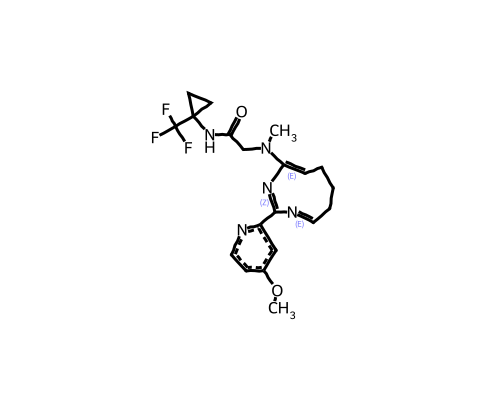 COc1ccnc(C2=N/C(N(C)CC(=O)NC3(C(F)(F)F)CC3)=C/CCC\C=N\2)c1